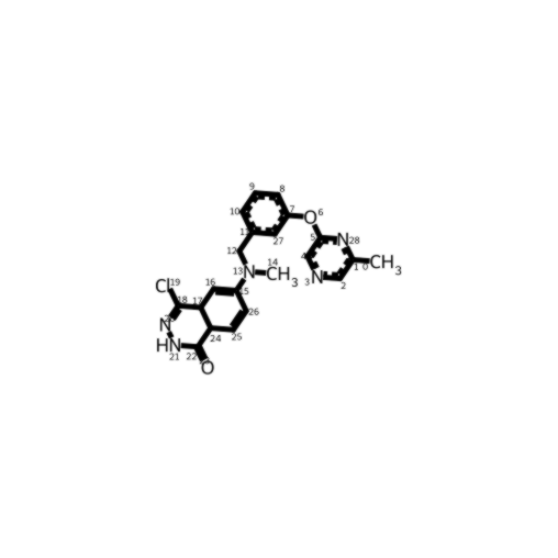 Cc1cncc(Oc2cccc(CN(C)C3=CC4C(Cl)=NNC(=O)C4C=C3)c2)n1